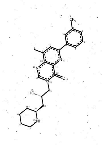 Cc1cc(-c2cccc(C(F)(F)F)c2)nc2c(=O)n(C[C@@H](O)C[C@@H]3CCCCN3)cnc12